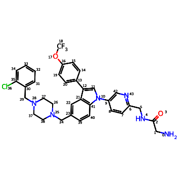 NCC(=O)NCc1ccc(-n2cc(-c3ccc(OC(F)(F)F)cc3)c3cc(CN4CCN(Cc5ccccc5Cl)CC4)ccc32)cn1